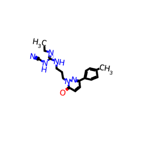 CC/N=C(\NC#N)NCCCn1nc(-c2ccc(C)cc2)ccc1=O